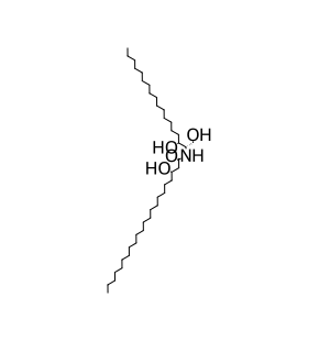 CCCCCCCCCCCCCCCCCCCC(O)CC(=O)N[C@@H](CO)[C@H](O)CCCCCCCCCCCCCCC